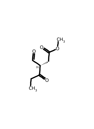 CCC(=O)[C@H](C=O)CC(=O)OC